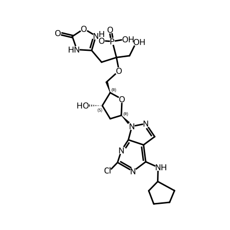 O=c1[nH]c(CC(CO)(OC[C@H]2O[C@@H](n3ncc4c(NC5CCCC5)nc(Cl)nc43)C[C@@H]2O)P(=O)(O)O)no1